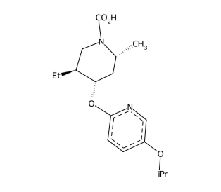 CC[C@H]1CN(C(=O)O)[C@H](C)C[C@@H]1Oc1ccc(OC(C)C)cn1